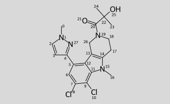 Cn1ccc(-c2cc(Cl)c(Cl)c3c2c2c(n3C)CCN(C(=O)C(C)(C)O)C2)n1